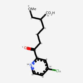 COCC(CCCC(=O)c1cc(Cl)ccn1)C(=O)O